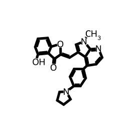 Cn1cc(/C=C2\Oc3cccc(O)c3C2=O)c2c(-c3ccc(N4CCCC4)cc3)ccnc21